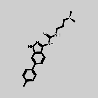 Cc1ccc(-c2ccc3c(NC(=O)NCCCN(C)C)n[nH]c3c2)cc1